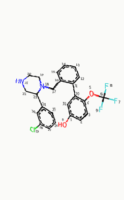 Oc1ccc(OC(F)(F)F)c(-c2ccccc2CN2CCNCC2c2cccc(Cl)c2)c1